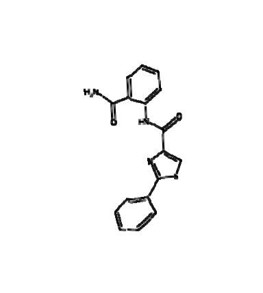 NC(=O)c1ccccc1NC(=O)c1csc(-c2ccccc2)n1